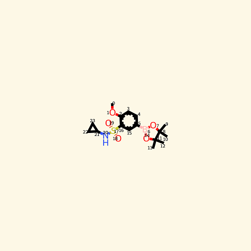 COc1ccc(B2OC(C)(C)C(C)(C)O2)cc1S(=O)(=O)NC1CC1